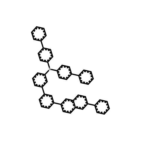 c1ccc(-c2ccc(N(c3ccc(-c4ccccc4)cc3)c3cccc(-c4cccc(-c5ccc6cc(-c7ccccc7)ccc6c5)c4)c3)cc2)cc1